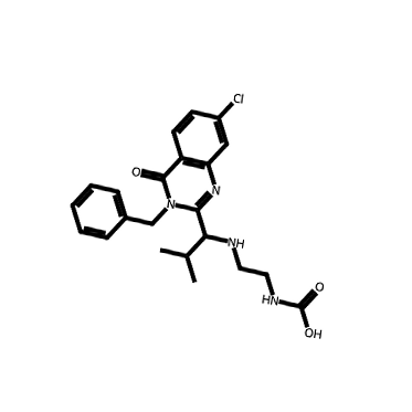 CC(C)C(NCCNC(=O)O)c1nc2cc(Cl)ccc2c(=O)n1Cc1ccccc1